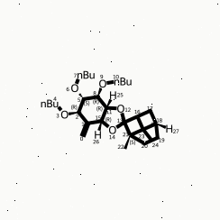 C=C1[C@@H](OCCCC)[C@H](OCCCC)[C@@H](OCCCC)[C@@H]2OC3(O[C@H]12)C1C[C@@H]2CC[C@@]3(C)C12C